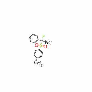 [C-]#[N+]C(F)(c1ccccc1)S(=O)(=O)c1ccc(C)cc1